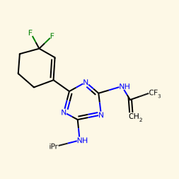 C=C(Nc1nc(NC(C)C)nc(C2=CC(F)(F)CCC2)n1)C(F)(F)F